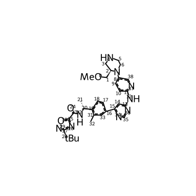 COC[C@H]1CNCCN1c1ccc(Nc2cc(-c3ccc([C@@H](C)NC(=O)c4nc(C(C)(C)C)no4)c(C)c3)ncn2)nc1